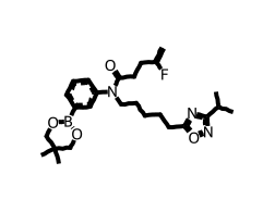 C=C(F)CCC(=O)N(CCCCCc1nc(C(C)C)no1)c1cccc(B2OCC(C)(C)CO2)c1